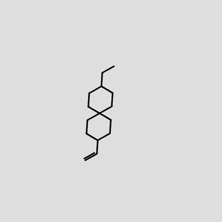 C=CC1CCC2(CC1)CCC(CC)CC2